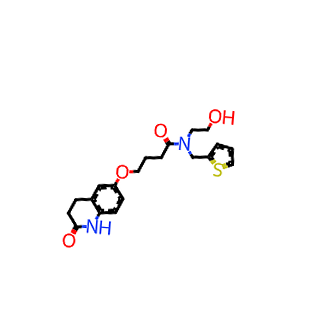 O=C1CCc2cc(OCCCC(=O)N(CCO)Cc3cccs3)ccc2N1